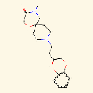 CN1CC2(CCN(CCC3COc4ccccc4O3)CC2)OCC1=O